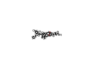 CC(C)C1=C2[C@H]3CC[C@@H]4[C@@]5(C)CC[C@H](OC(=O)[C@H]6C[C@@H](C(=O)O)C6(C)C)C(C)(C)[C@@H]5CC[C@@]4(C)[C@]3(C)CC[C@@]2([C@@H](O)CNC(=O)c2ccc(Cl)cc2OCCN2CCCC2)CC1=O